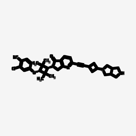 CC1(C)[C@H](Oc2ccc(C#N)c(Cl)c2)C(C)(C)[C@H]1N1Cc2nc(C#CC3CC(N4CC5CNCC5C4)C3)ccc2C1=O